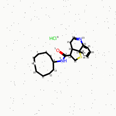 Cl.O=C(NC1CCCCCCCCC1)C1CSC23CC=CC=C2N=CCC13